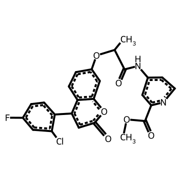 COC(=O)c1cc(NC(=O)C(C)Oc2ccc3c(-c4ccc(F)cc4Cl)cc(=O)oc3c2)ccn1